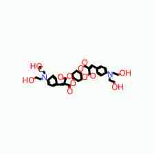 O=C1OC2(CCC3(CC2)OC(=O)C(=Cc2ccc(N(CCO)CCO)cc2)C(=O)O3)OC(=O)C1=Cc1ccc(N(CCO)CCO)cc1